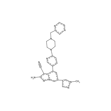 Cn1cc(-c2cc(-c3ccc(N4CCN(Cc5cnccn5)CC4)nc3)c3c(C#N)c(N)nn3c2)cn1